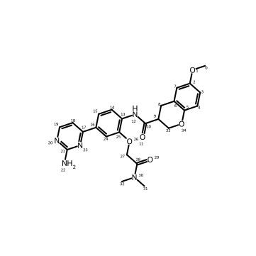 COc1ccc2c(c1)CC(C(=O)Nc1ccc(-c3ccnc(N)n3)cc1OCC(=O)N(C)C)CO2